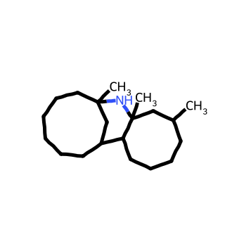 CC1CCCCC2C3CCCCCCC(C)(C3)NC2(C)C1